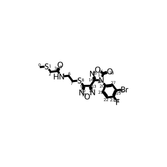 CSCC(=O)NCCSc1nonc1-c1noc(=O)n1-c1ccc(F)c(Br)c1